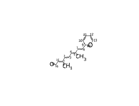 CC(/C=C/C=C(C)/C=C/C1C=CC=CO1)=C\C=O